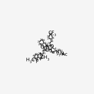 CC(=O)N1CCN(c2ccc(CN(C(=O)C=Cc3ccc(C(F)(F)F)cc3)[C@@H](Cc3ccccc3)C(=O)N(C)CCN(C)Cc3ccc(C)c(F)c3F)cc2)CC1